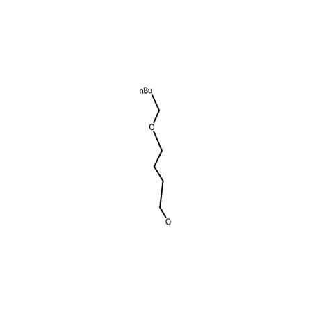 CCCCCOCCCC[O]